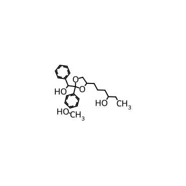 CCC(O)CCCC1COC(c2ccccc2)(C(O)c2ccccc2)O1.CO